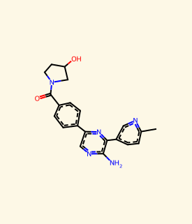 Cc1ccc(-c2nc(-c3ccc(C(=O)N4CCC(O)C4)cc3)cnc2N)cn1